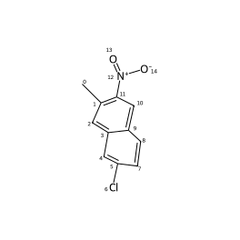 Cc1cc2cc(Cl)ccc2cc1[N+](=O)[O-]